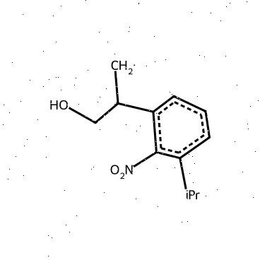 [CH2]C(CO)c1cccc(C(C)C)c1[N+](=O)[O-]